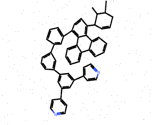 CC1CC=CC(c2ccc(-c3cccc(-c4cccc(-c5cc(-c6ccncc6)cc(-c6ccncc6)c5)c4)c3)c3c4ccccc4c4ccccc4c23)C1C